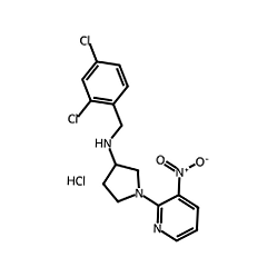 Cl.O=[N+]([O-])c1cccnc1N1CCC(NCc2ccc(Cl)cc2Cl)C1